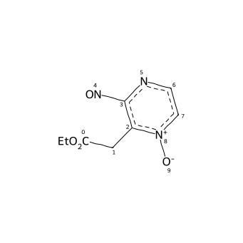 CCOC(=O)Cc1c(N=O)ncc[n+]1[O-]